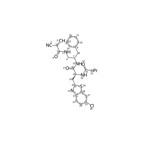 C=C(C#N)C(=O)NCC(Cc1ccccc1)NC(=O)[C@H](Cc1nc2ccc(Cl)cc2s1)NC(=O)CCC